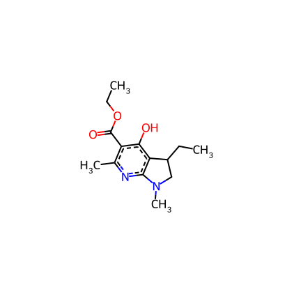 CCOC(=O)c1c(C)nc2c(c1O)C(CC)CN2C